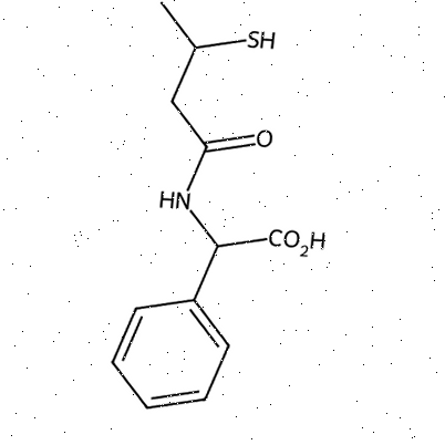 CC(S)CC(=O)NC(C(=O)O)c1ccccc1